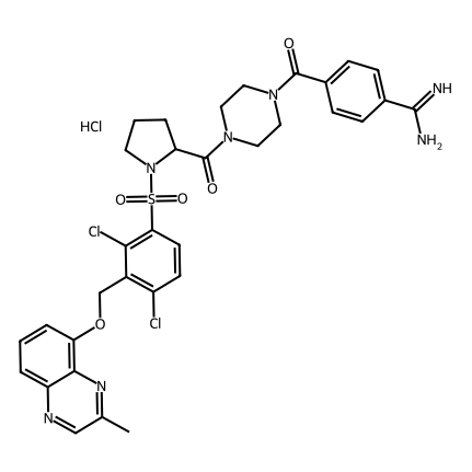 Cc1cnc2cccc(OCc3c(Cl)ccc(S(=O)(=O)N4CCCC4C(=O)N4CCN(C(=O)c5ccc(C(=N)N)cc5)CC4)c3Cl)c2n1.Cl